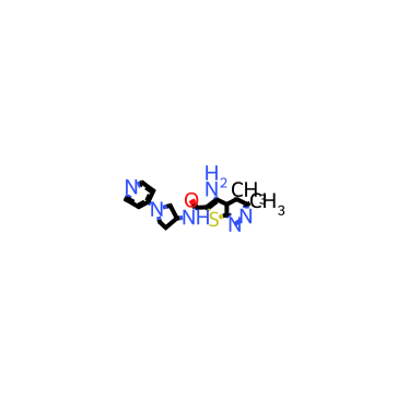 CC1=NN=C2SC(C(=O)NC3CCN(c4ccncc4)C3)=C(N)C2C1C